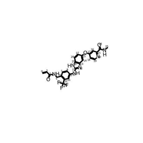 C=CC(=O)NCc1ccc(Nc2nc3cc(Oc4ccnc(C(=O)NC)c4)ccc3[nH]2)cc1C(F)(F)F